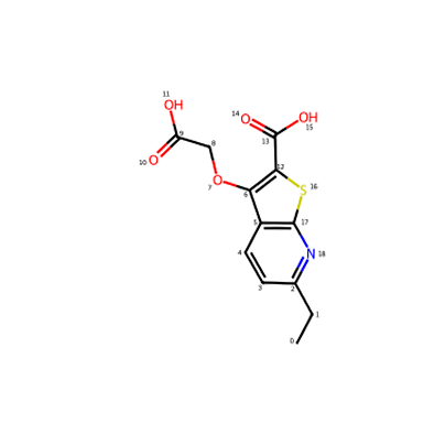 CCc1ccc2c(OCC(=O)O)c(C(=O)O)sc2n1